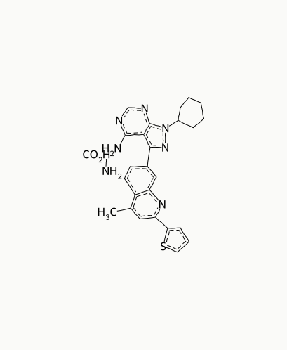 Cc1cc(-c2cccs2)nc2cc(-c3nn(C4CCCCC4)c4ncnc(N)c34)ccc12.NC(=O)O